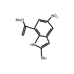 C=C(OC)c1cc([N+](=O)[O-])cc2cc(C(C)(C)C)[nH]c12